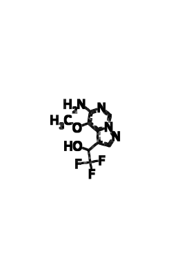 COc1c(N)ncn2ncc(C(O)C(F)(F)F)c12